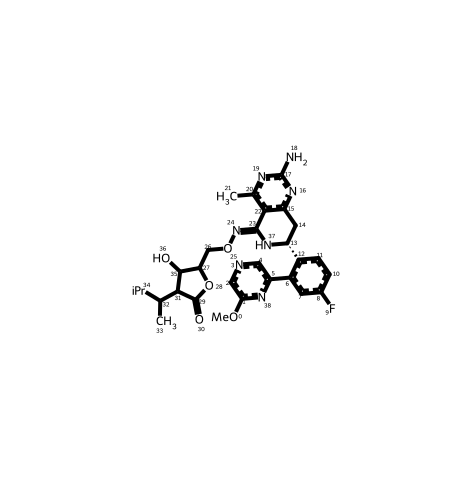 COc1cncc(-c2cc(F)ccc2[C@H]2Cc3nc(N)nc(C)c3/C(=N/OCC3OC(=O)C(C(C)C(C)C)C3O)N2)n1